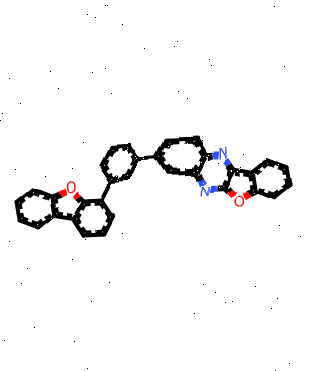 c1cc(-c2ccc3nc4c(nc3c2)oc2ccccc24)cc(-c2cccc3c2oc2ccccc23)c1